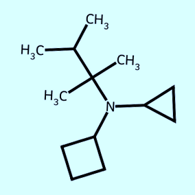 CC(C)C(C)(C)N(C1CCC1)C1CC1